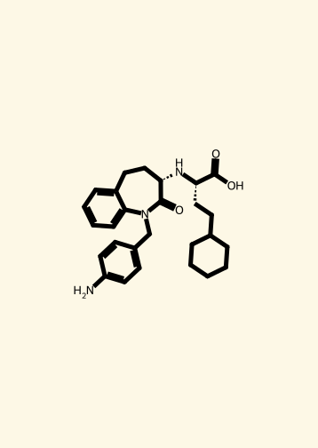 Nc1ccc(CN2C(=O)[C@@H](N[C@@H](CCC3CCCCC3)C(=O)O)CCc3ccccc32)cc1